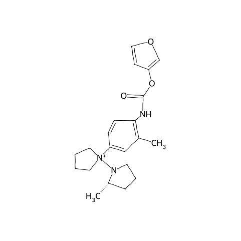 Cc1cc([N+]2(N3CCC[C@@H]3C)CCCC2)ccc1NC(=O)Oc1ccoc1